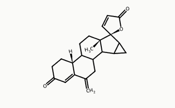 C=C1CC2C(CC[C@@]3(C)C2C2CC2[C@@]32C=CC(=O)O2)[C@H]2CCC(=O)C=C12